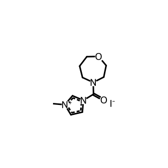 C[n+]1ccn(C(=O)N2CCCOCC2)c1.[I-]